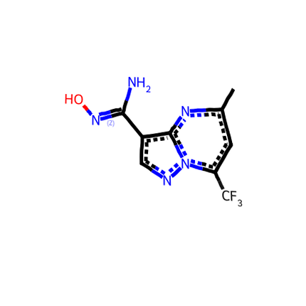 Cc1cc(C(F)(F)F)n2ncc(/C(N)=N/O)c2n1